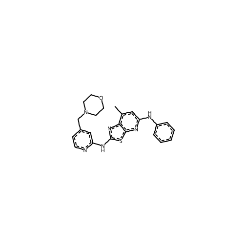 Cc1cc(Nc2ccccc2)nc2sc(Nc3cc(CN4CCOCC4)ccn3)nc12